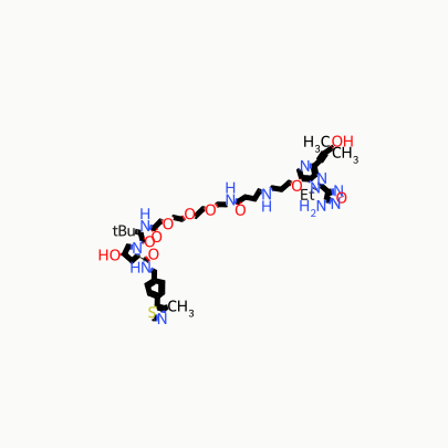 CCn1c(-c2nonc2N)nc2c(C#CC(C)(C)O)ncc(OCCCNCCCC(=O)NCCOCCOCCOCC(=O)NC(C(=O)N3C[C@H](O)C[C@H]3C(=O)NCc3ccc(-c4scnc4C)cc3)C(C)(C)C)c21